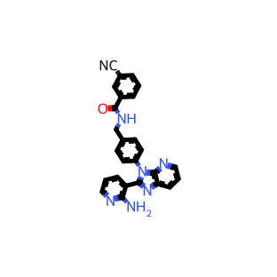 N#Cc1cccc(C(=O)NCc2ccc(-n3c(-c4cccnc4N)nc4cccnc43)cc2)c1